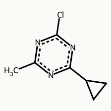 Cc1nc(Cl)nc(C2CC2)n1